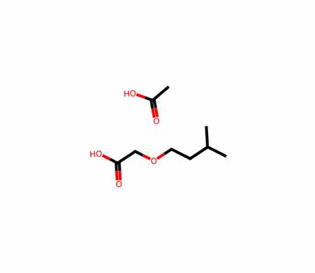 CC(=O)O.CC(C)CCOCC(=O)O